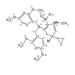 CNC1=CC(Br)(C2CC2)CC(N(Cc2ccc(OC)cc2OC)Cc2ccc(OC)cc2OC)=C1[N+](=O)[O-]